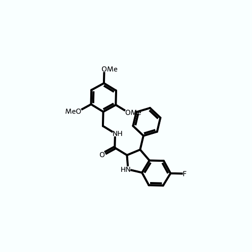 COc1cc(OC)c(CNC(=O)C2Nc3ccc(F)cc3C2c2ccccc2)c(OC)c1